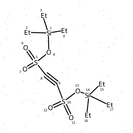 CC[Si](CC)(CC)OS(=O)(=O)C#CS(=O)(=O)O[Si](CC)(CC)CC